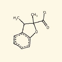 CC1c2ccccc2OC1(C)C(=O)Cl